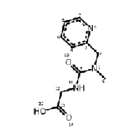 CN(Cc1ccccn1)C(=O)NCC(=O)O